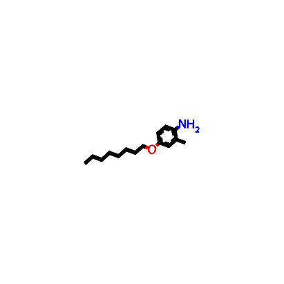 CCCCCCCCOc1ccc(N)c(C)c1